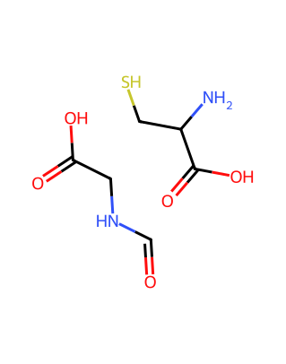 NC(CS)C(=O)O.O=CNCC(=O)O